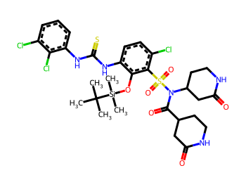 CC(C)(C)[Si](C)(C)Oc1c(NC(=S)Nc2cccc(Cl)c2Cl)ccc(Cl)c1S(=O)(=O)N(C(=O)C1CCNC(=O)C1)C1CCNC(=O)C1